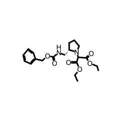 CCOC(=O)C(C(=O)OCC)N1CCC[C@H]1CNC(=O)OCc1ccccc1